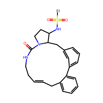 CCS(=O)(=O)NC1CCN2C(=O)NCC/C=C/Cc3ccccc3-c3cccc(c3)CC12